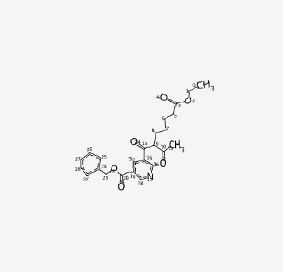 CCOC(=O)CCCCC(C(C)=O)C(=O)c1cncc(C(=O)OCc2ccccc2)c1